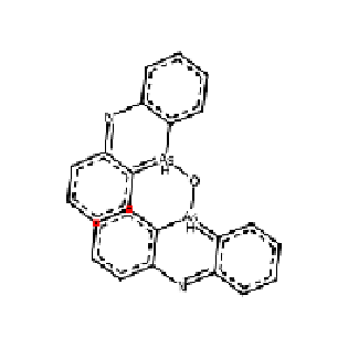 c1ccc2c(c1)N=c1ccccc1=[AsH]2O[AsH]1=c2ccccc2=Nc2ccccc21